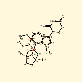 Cn1nc(C2CCC(=O)NC2=O)c2cccc(C3C[C@@H]4CC[C@@H](C3)N4CC3CCNCC3)c21